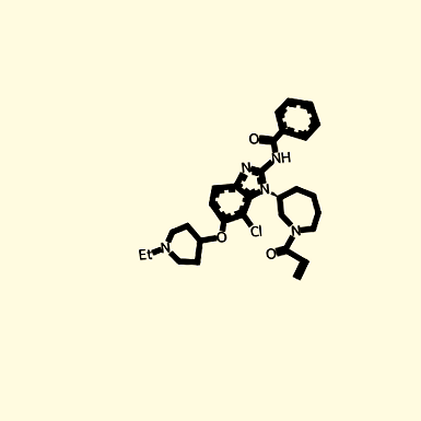 C=CC(=O)N1CCCC[C@@H](n2c(NC(=O)c3ccccc3)nc3ccc(OC4CCN(CC)CC4)c(Cl)c32)C1